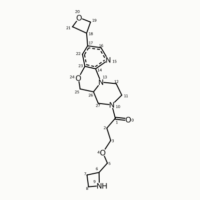 O=C(CCOCC1CCN1)N1CCN2c3ncc(C4COC4)cc3OCC2C1